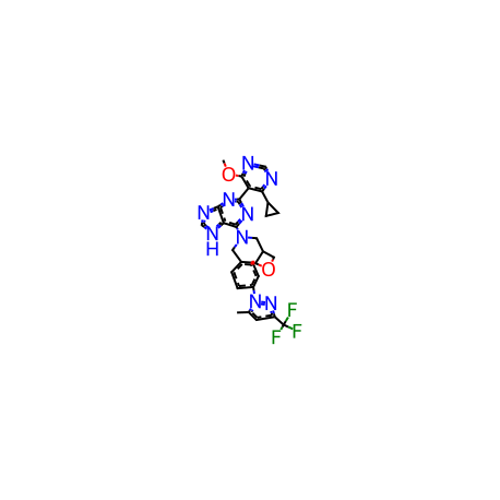 COc1ncnc(C2CC2)c1-c1nc(N(Cc2ccc(-n3nc(C(F)(F)F)cc3C)cc2)CC2COC2)c2[nH]cnc2n1